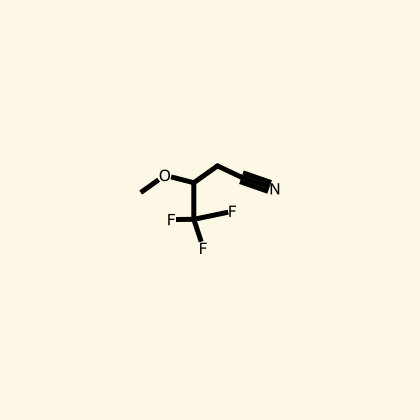 COC(CC#N)C(F)(F)F